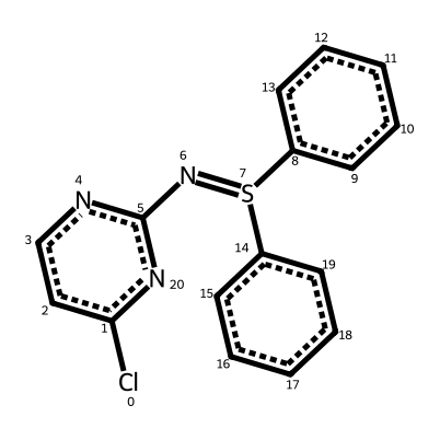 Clc1ccnc(N=S(c2ccccc2)c2ccccc2)n1